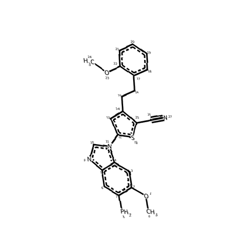 COc1cc2c(cc1P)ncn2-c1cc(CCc2ccccc2OC)c(C#N)s1